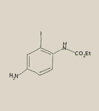 CCOC(=O)Nc1ccc(N)cc1I